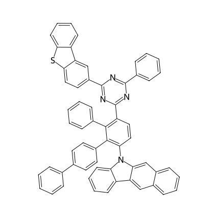 c1ccc(-c2ccc(-c3c(-n4c5ccccc5c5cc6ccccc6cc54)ccc(-c4nc(-c5ccccc5)nc(-c5ccc6sc7ccccc7c6c5)n4)c3-c3ccccc3)cc2)cc1